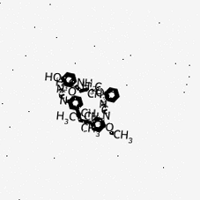 CCCC(C)(N)Oc1ccc(C(C)(C)CC(C)(C)c2ccc(OCC)c(N=C=Nc3ccccc3OC)c2)cc1N=C=Nc1ccccc1O